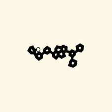 c1ccc(-c2cc(-c3ccccc3)cc(-c3ccc4ccc5c(-c6cccc(-c7cccc8c7oc7ccccc78)c6)ccc6ccc3c4c65)c2)cc1